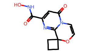 O=C(NO)c1cc(=O)n2c(n1)C1(CCC1)OC=C2